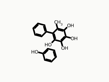 Cc1c(O)c(O)c(O)c(O)c1-c1ccccc1.Oc1ccccc1